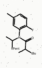 CCCCCC(C)N(C(=O)C(C)C(C)(C)C)c1cc(C)ccc1F